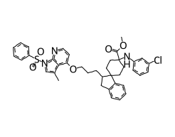 COC(=O)C1(Nc2cccc(Cl)c2)CCC2(CC1)c1ccccc1CC2CCCOc1ccnc2c1c(C)cn2S(=O)(=O)c1ccccc1